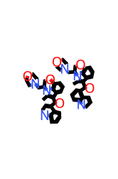 Cc1c(C(=O)c2cccc3ncccc23)c2cccc3c2n1C(CN1CCOCC1)CO3.Cc1c(C(=O)c2ccnc3ccccc23)c2cccc3c2n1C(CN1CCOCC1)CO3